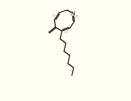 C=C1/C=C\C/N=C\C=C/1CCCCCCC